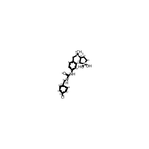 CN(Cc1ccc(NC(=O)NCc2ccc(Cl)cc2)cc1)C1CCS(O)(O)C1